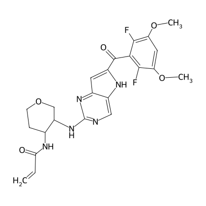 C=CC(=O)NC1CCOCC1Nc1ncc2[nH]c(C(=O)c3c(F)c(OC)cc(OC)c3F)cc2n1